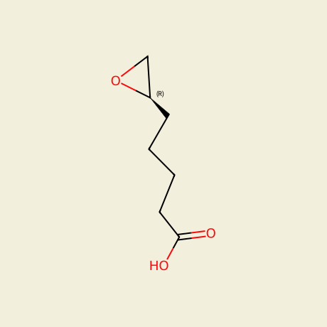 O=C(O)CCCC[C@@H]1CO1